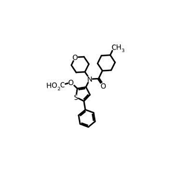 CC1CCC(C(=O)N(c2cc(-c3ccccc3)sc2OC(=O)O)C2CCOCC2)CC1